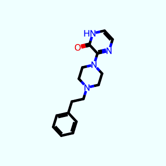 O=c1[nH]ccnc1N1CCN(CCc2ccccc2)CC1